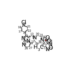 Cc1nonc1C(=O)N1C2CCN(Cc3c(-c4ccc(Cl)cc4)nc4ncccn34)CC1CC(=O)C2